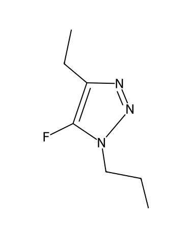 CCCn1nnc(CC)c1F